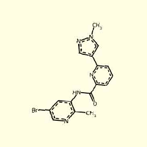 Cc1ncc(Br)cc1NC(=O)c1cccc(-c2cnn(C)c2)n1